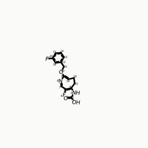 O=C(O)N/C1=C(F)/C=N\C(OCc2cccc(F)c2)=C\CC1